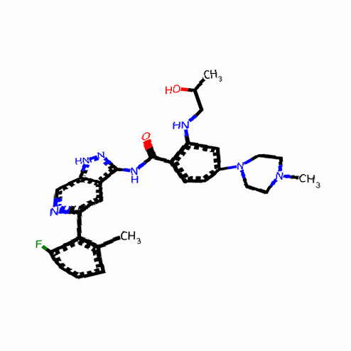 Cc1cccc(F)c1-c1cc2c(NC(=O)c3ccc(N4CCN(C)CC4)cc3NCC(C)O)n[nH]c2cn1